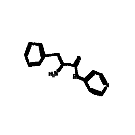 N[C@@H](Cc1ccccc1)C(=O)Nc1ccncc1